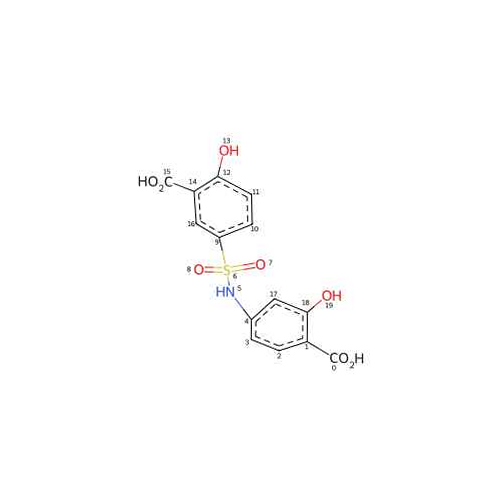 O=C(O)c1ccc(NS(=O)(=O)c2ccc(O)c(C(=O)O)c2)cc1O